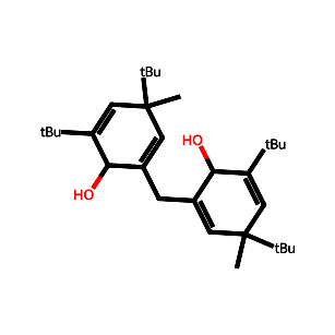 CC(C)(C)C1=CC(C)(C(C)(C)C)C=C(CC2=CC(C)(C(C)(C)C)C=C(C(C)(C)C)C2O)C1O